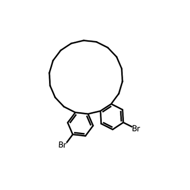 Brc1ccc2c(c1)CCCCCCCCCCCCCCc1cc(Br)ccc1-2